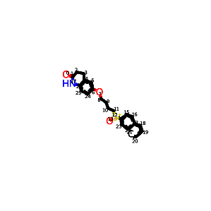 O=C1CCc2cc(OCCCC[S+]([O-])c3ccc4ccccc4c3)ccc2N1